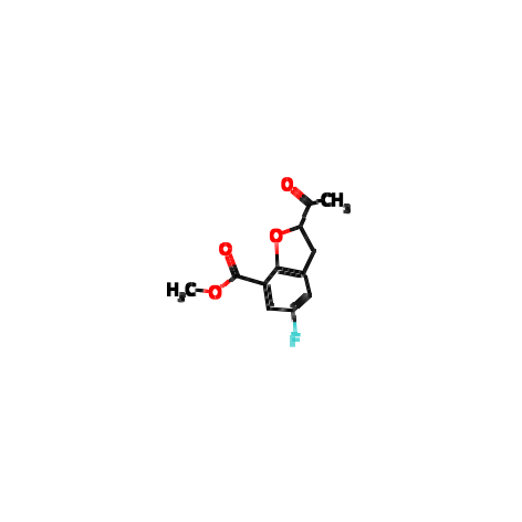 COC(=O)c1cc(F)cc2c1OC(C(C)=O)C2